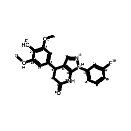 COc1cc(C2CC(=O)Nc3c2cnn3-c2cccc(F)c2)cc(OC)c1O